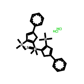 C[Si](C)(C)C1=[C]([Ti]([CH3])([CH3])(=[SiH2])[C]2=C([Si](C)(C)C)C=C(c3ccccc3)C2)CC(c2ccccc2)=C1.Cl.Cl